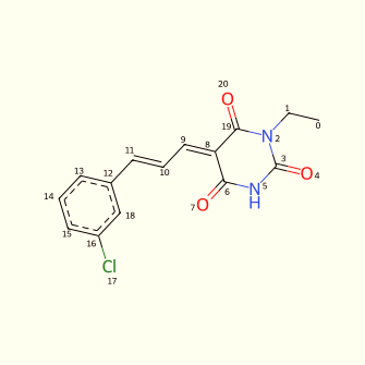 CCN1C(=O)NC(=O)/C(=C\C=C\c2cccc(Cl)c2)C1=O